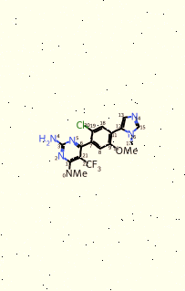 CNc1nc(N)nc(-c2cc(OC)c(-c3cncn3C)cc2Cl)c1C(F)(F)F